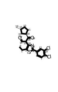 CCc1sc(-c2ccc(Cl)c(Cl)c2)nc1C(C=O)C(=O)[C@@H]1CC[C@@H](C)C1